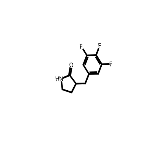 O=C1NCCC1Cc1cc(F)c(F)c(F)c1